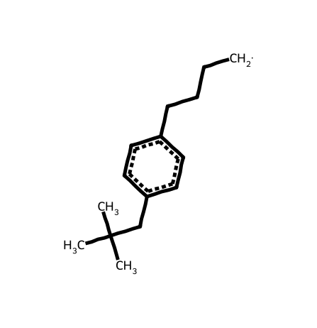 [CH2]CCCc1ccc(CC(C)(C)C)cc1